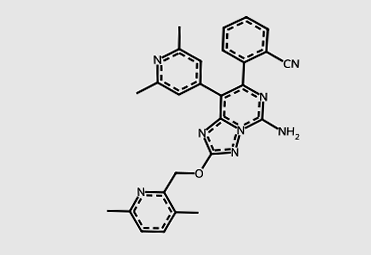 Cc1cc(-c2c(-c3ccccc3C#N)nc(N)n3nc(OCc4nc(C)ccc4C)nc23)cc(C)n1